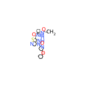 C=CC(=O)NC1CCC[C@H]1NC(=O)c1sc2nccc3c2c1NC(=O)N3c1ccc(Oc2ccccc2)cn1